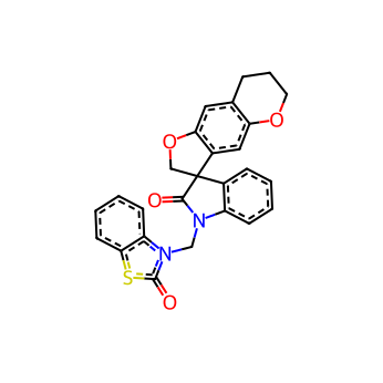 O=C1N(Cn2c(=O)sc3ccccc32)c2ccccc2C12COc1cc3c(cc12)OCCC3